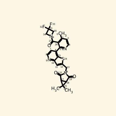 Cc1ccnc(-c2ccnc3cc(CN4C(=O)C5C(C4=O)C5(C)C)sc23)c1C(=O)N1CC(F)(F)C1